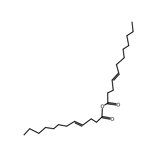 CCCCCCCC=CCCC(=O)OC(=O)CCC=CCCCCCCC